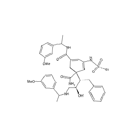 CCS(=O)(=O)NC1=CC(C(N)=O)([C@H](Cc2ccccc2)[C@@H](O)CNC(C)c2cccc(OC)c2)CC(C(=O)NC(C)c2cccc(OC)c2)=C1